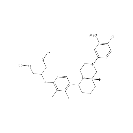 CCOCC(COCC)Oc1ccc([C@H]2CCC[C@H]3CN(c4ccc(Cl)c(OC)c4)CCN32)c(C)c1C